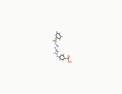 O=C(O)c1ccc(CN2CC(CN[C@@H]3C[C@H]3c3ccccc3)C2)cc1